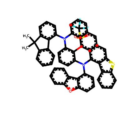 CC1(C)c2ccccc2-c2c(N(c3cccc(N(c4cccc5oc6ccccc6c45)c4cccc5sc6ccccc6c45)c3OS(=O)(=O)C(F)(F)F)c3cccc4ccccc34)cccc21